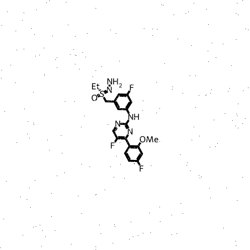 CCS(=O)(Cc1cc(F)cc(Nc2ncc(F)c(-c3ccc(F)cc3OC)n2)c1)=NN